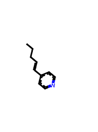 CCCC=Cc1ccncc1